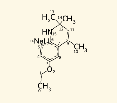 CCOc1ccc2c(c1)C(C)=CC(C)(C)N2.[NaH]